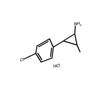 CC1C(N)C1c1ccc(Cl)cc1.Cl